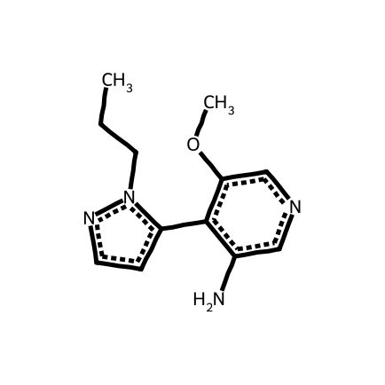 CCCn1nccc1-c1c(N)cncc1OC